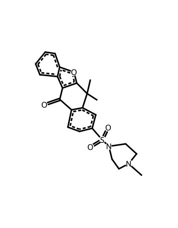 CN1CCN(S(=O)(=O)c2ccc3c(c2)C(C)(C)c2oc4ccccc4c2C3=O)CC1